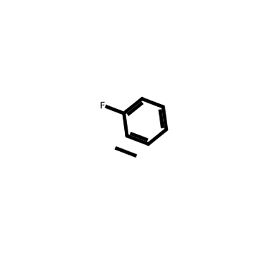 CC.Fc1ccccc1